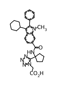 Cn1c(-c2ccccc2)c(C2CCCCC2)c2ccc(C(=O)NC3(c4nnnn4CC(=O)O)CCCC3)cc21